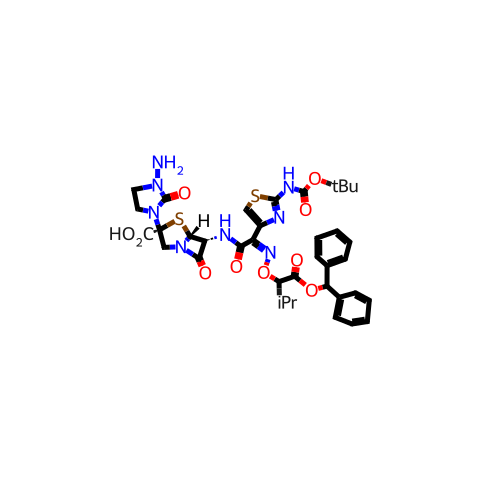 CC(C)C(O/N=C(\C(=O)N[C@@H]1C(=O)N2C[C@@](C(=O)O)(N3CCN(N)C3=O)S[C@H]12)c1csc(NC(=O)OC(C)(C)C)n1)C(=O)OC(c1ccccc1)c1ccccc1